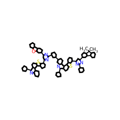 CC1(C)c2ccccc2-c2cc(-c3cc(-c4cccc5c4sc4ccc6c(-c7ccccc7)nc7cc(-c8cccc(-c9nc(-c%10ccc%11c(c%10)oc%10ccccc%10%11)cc(-c%10cccc%11c%10sc%10ccc%12c(-c%13ccccc%13)nc%13ccccc%13c%12c%10%11)n9)c8)ccc7c6c45)nc(-c4ccccc4)n3)ccc21